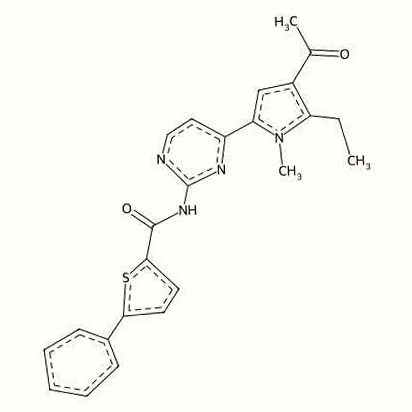 CCc1c(C(C)=O)cc(-c2ccnc(NC(=O)c3ccc(-c4ccccc4)s3)n2)n1C